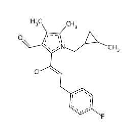 Cc1c(C=O)c(C(Cl)=CCc2ccc(F)cc2)n(CC2CC2C)c1C